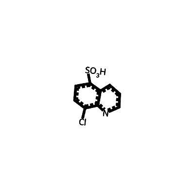 O=S(=O)(O)c1ccc(Cl)c2ncccc12